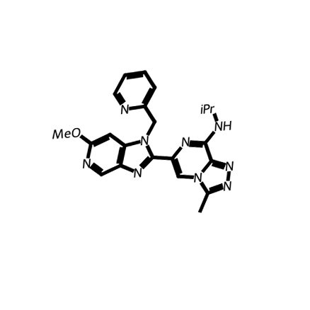 COc1cc2c(cn1)nc(-c1cn3c(C)nnc3c(NC(C)C)n1)n2Cc1ccccn1